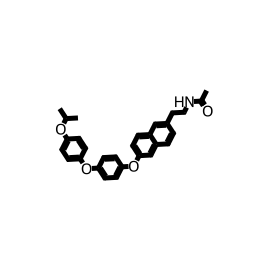 CC(=O)NCCc1ccc2cc(Oc3ccc(Oc4ccc(OC(C)C)cc4)cc3)ccc2c1